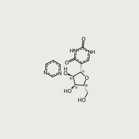 O=c1[nH]cc([C@@H]2O[C@H](CO)[C@@H](O)[C@H]2O)c(=O)[nH]1.c1cncnc1